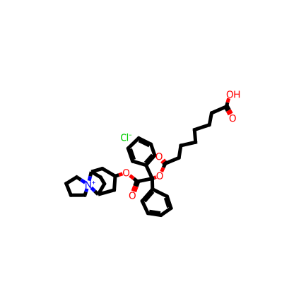 O=C(O)CCCCCCC(=O)OC(C(=O)OC1CC2CCC(C1)[N+]21CCCC1)(c1ccccc1)c1ccccc1.[Cl-]